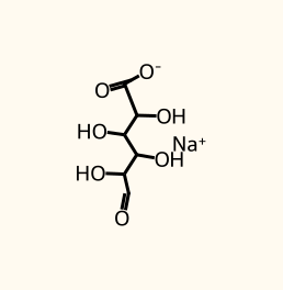 O=CC(O)C(O)C(O)C(O)C(=O)[O-].[Na+]